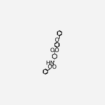 O=C(NC[C@H]1CC[C@H](C(=O)Oc2ccc(OCc3ccccc3)cc2)CC1)OCc1ccccc1